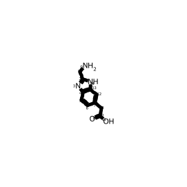 NCc1nc2ccc(CC(=O)O)cc2[nH]1